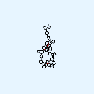 c1cc(-c2ccc(-c3cccc4ccccc34)cc2)cc(N(c2ccc(-c3cccc(-n4c5ccccc5c5cc(-c6cccc7c6oc6cc(-c8ccccc8N(c8ccc(-c9ccc(-c%10cccc%11ccccc%10%11)cc9)cc8)c8ccc9c(c8)oc8ccccc89)ccc67)ccc54)c3)cc2)c2ccccc2-c2ccc3c(c2)oc2ccccc23)c1